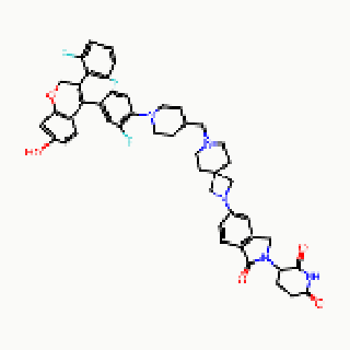 O=C1CCC(N2Cc3cc(N4CC5(CCN(CC6CCN(c7ccc(C8=C(c9c(F)cccc9F)COc9cc(O)ccc98)cc7F)CC6)CC5)C4)ccc3C2=O)C(=O)N1